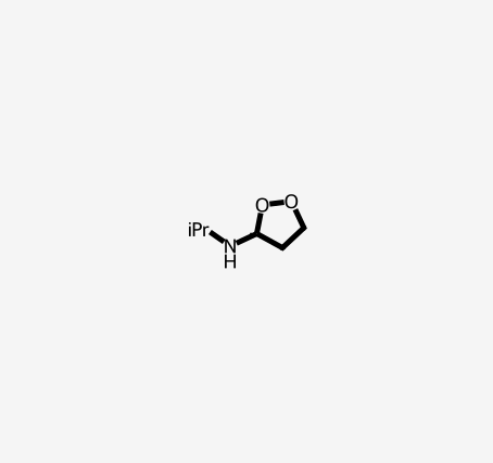 CC(C)N[C]1CCOO1